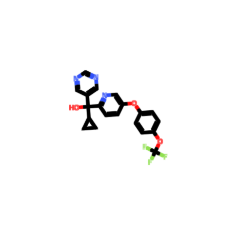 OC(c1cncnc1)(c1ccc(Oc2ccc(OC(F)(F)F)cc2)cn1)C1CC1